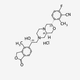 Cc1c([C@H]2CN3CCN(C[C@@H](O)c4ccc5c(c4C)COC5=O)C[C@@H]3CO2)ccc(F)c1C#N.Cl